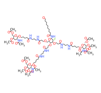 CC(=O)N[C@H]1[C@H](OCCCCC(=O)NCCCNC(=O)CCO[C@@H]2[C@@H](F)[C@H](NC(=O)CCCCCCCCC=O)O[C@H](COCCC(=O)NCCCNC(=O)CCCCO[C@@H]3O[C@H](COC(C)=O)[C@H](OC(C)=O)C[C@H]3NC(C)=O)[C@H]2OCCC(=O)NCCCNC(=O)CCCCO[C@@H]2O[C@H](COC(C)=O)[C@H](OC(C)=O)[C@H](OC(C)=O)[C@H]2NC(C)=O)O[C@H](COC(C)=O)[C@H](OC(C)=O)[C@@H]1OC(C)=O